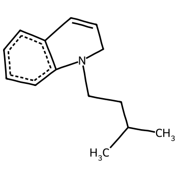 CC(C)CCN1CC=Cc2ccccc21